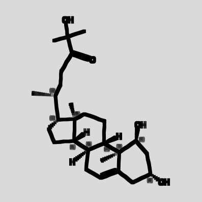 C[C@H](CCC(=O)C(C)(C)O)[C@H]1CC[C@H]2[C@@H]3CC=C4C[C@@H](O)C[C@H](O)[C@]4(C)[C@H]3CC[C@]12C